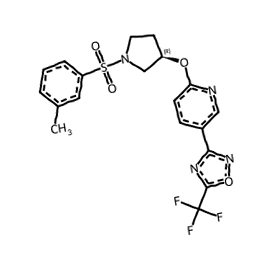 Cc1cccc(S(=O)(=O)N2CC[C@@H](Oc3ccc(-c4noc(C(F)(F)F)n4)cn3)C2)c1